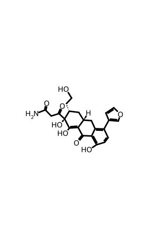 NC(=O)CC(=O)[C@@]1(O)C(O)=C2C(=O)c3c(O)ccc(-c4ccoc4)c3C[C@H]2C[C@H]1CCO